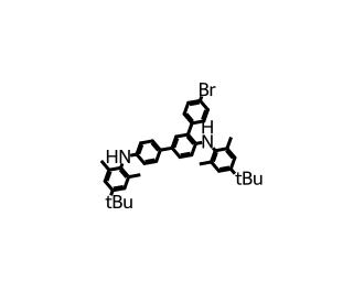 Cc1cc(C(C)(C)C)cc(C)c1Nc1ccc(-c2ccc(Nc3c(C)cc(C(C)(C)C)cc3C)c(-c3ccc(Br)cc3)c2)cc1